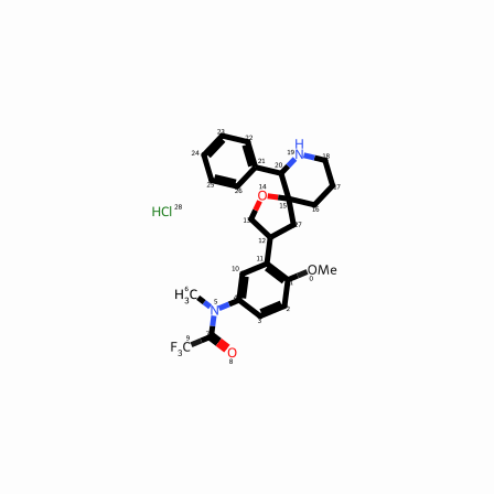 COc1ccc(N(C)C(=O)C(F)(F)F)cc1C1COC2(CCCNC2c2ccccc2)C1.Cl